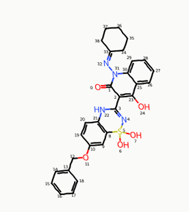 O=c1c(C2=NS(O)(O)c3cc(OCc4ccccc4)ccc3N2)c(O)c2ccccc2n1N=C1CCCCC1